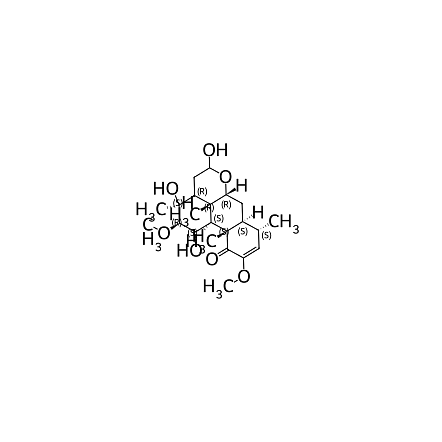 COC1=C[C@@H](C)[C@@H]2C[C@H]3OC(O)C[C@H]4[C@](C)(O)[C@H](OC)[C@@H](O)[C@H]([C@@]2(C)C1=O)[C@@]34C